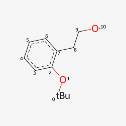 CC(C)(C)Oc1ccccc1CC[O]